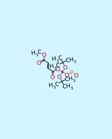 COC(=O)C=CC(=O)OC(OP=O)(OC(C)(C)C)OC(C)(C)C